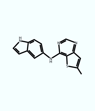 Cc1cc2ncnc(Nc3ccc4[nH]ccc4c3)c2s1